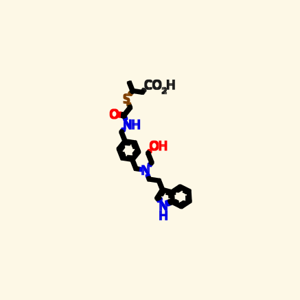 CC(CC(=O)O)SCC(=O)NCc1ccc(CN(CCO)CCc2c[nH]c3ccccc23)cc1